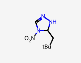 CC(C)(C)CC1NN=CN1[N+](=O)[O-]